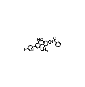 Cc1cc(-c2ccc(F)cn2)cc(C)c1C1C(=O)CC2(CC1O)CN(C(=O)c1ccccc1)C2